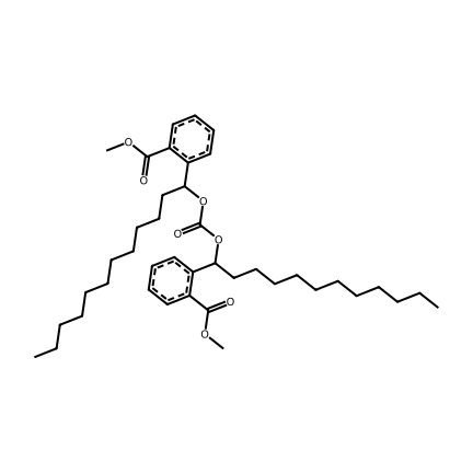 CCCCCCCCCCCC(OC(=O)OC(CCCCCCCCCCC)c1ccccc1C(=O)OC)c1ccccc1C(=O)OC